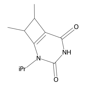 CC1c2c(n(C(C)C)c(=O)[nH]c2=O)C1C